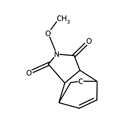 CON1C(=O)C2C3C=CC(CC3)C2C1=O